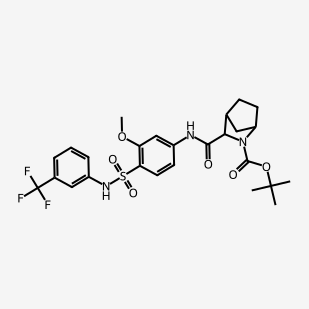 COc1cc(NC(=O)C2C3CCC(C3)N2C(=O)OC(C)(C)C)ccc1S(=O)(=O)Nc1cccc(C(F)(F)F)c1